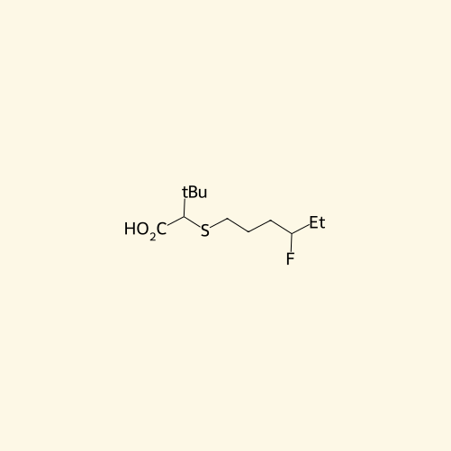 CCC(F)CCCSC(C(=O)O)C(C)(C)C